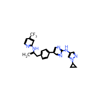 C=C(Cc1ccc(-c2cnc(Nc3cnn(C4CC4)c3)nc2)cc1)Nc1cc(C(F)(F)F)ccn1